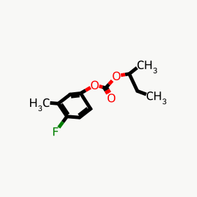 CCC(C)OC(=O)Oc1ccc(F)c(C)c1